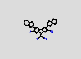 N#CC(C#N)=C1c2cc(C#N)c(-c3ccc4ccccc4c3)cc2-c2cc(-c3ccc4ccccc4c3)c(C#N)cc21